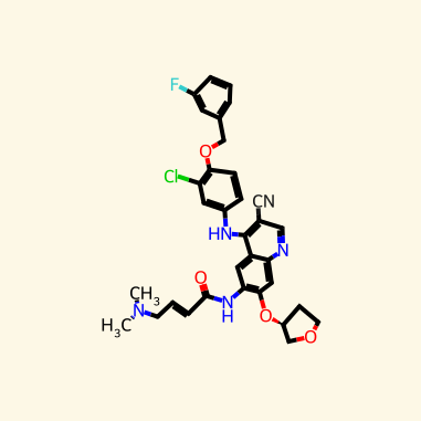 CN(C)CC=CC(=O)Nc1cc2c(Nc3ccc(OCc4cccc(F)c4)c(Cl)c3)c(C#N)cnc2cc1O[C@H]1CCOC1